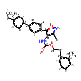 CCOC(=O)Cc1ccc(-c2ccc(-c3onc(C)c3NC(=O)OCCc3ccccc3C(F)(F)F)cc2)cc1